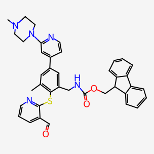 Cc1cc(-c2ccnc(N3CCN(C)CC3)c2)cc(CNC(=O)OCC2c3ccccc3-c3ccccc32)c1Sc1ncccc1C=O